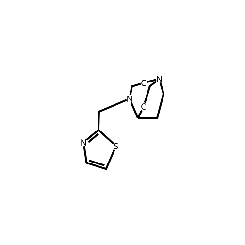 c1csc(CN2CCN3CCC2CC3)n1